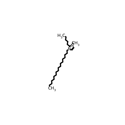 CCCCCCCCCCCCCCCCCCN1C=CN(C)C1CCCCC